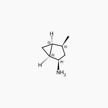 C[C@H]1C[C@@H](N)[C@H]2C[C@H]21